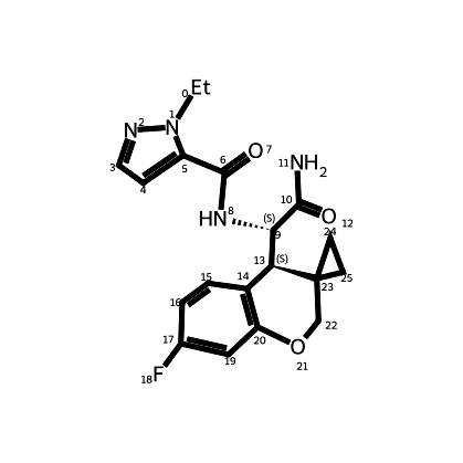 CCn1nccc1C(=O)N[C@H](C(N)=O)[C@@H]1c2ccc(F)cc2OCC12CC2